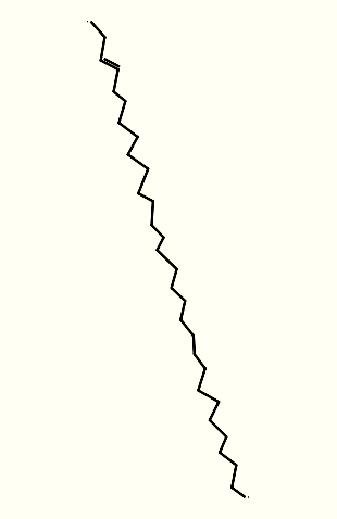 [CH2]CC=CCCCCCCCCCCCCCCCCCCCCCCCCC[CH2]